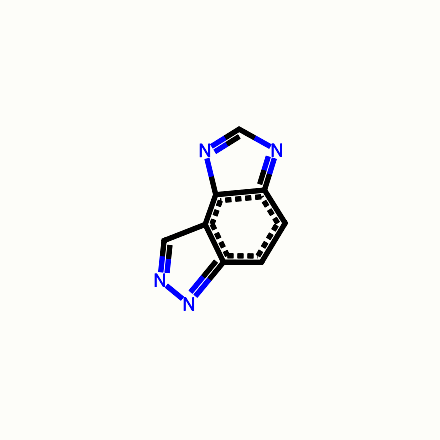 C1=NN=c2ccc3c(c21)N=CN=3